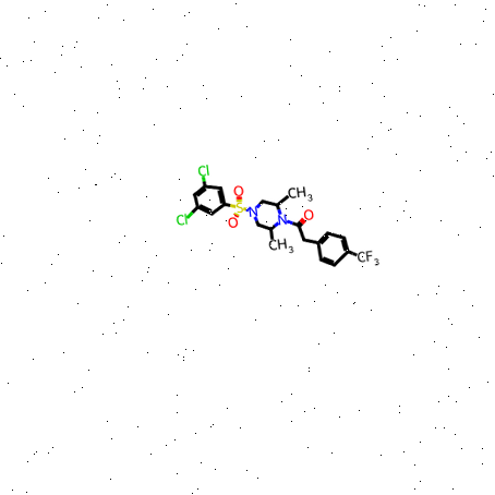 CC1CN(S(=O)(=O)c2cc(Cl)cc(Cl)c2)CC(C)N1C(=O)Cc1ccc(C(F)(F)F)cc1